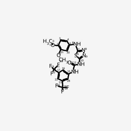 COc1ccc(Nc2nnc(NC(=O)Nc3cc(C(F)(F)F)cc(C(F)(F)F)c3)s2)cc1OC